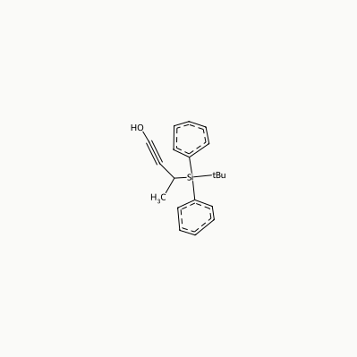 CC(C#CO)[Si](c1ccccc1)(c1ccccc1)C(C)(C)C